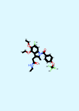 CCNC(=O)Cc1c(C)n(C(=O)c2ccc(OC(F)(F)F)cc2)c2cc(F)c(OCC)c(OCC)c12